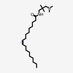 CCCCCCCC/C=C\CCCCCCCC(=O)NCC(C)(C)CN(C)C